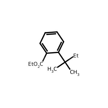 CCOC(=O)c1ccccc1C(C)(C)CC